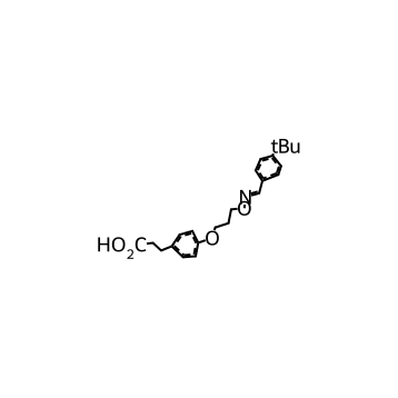 CC(C)(C)c1ccc(C=NOCCCOc2ccc(CCC(=O)O)cc2)cc1